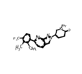 Cc1c(C(F)(F)F)ccc(-c2ccc3cn(C4CCC(=O)N(C(C)C)C4)nc3n2)c1O